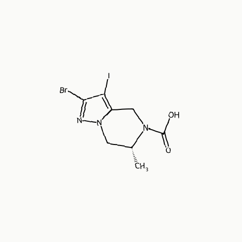 C[C@@H]1Cn2nc(Br)c(I)c2CN1C(=O)O